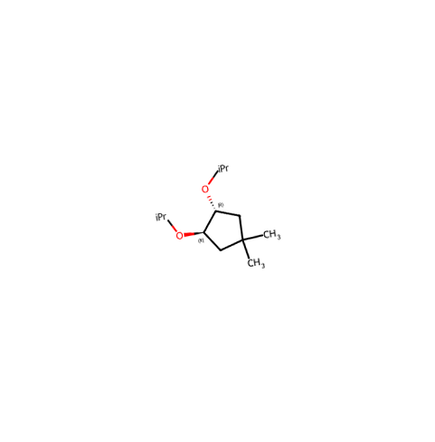 CC(C)O[C@@H]1CC(C)(C)C[C@H]1OC(C)C